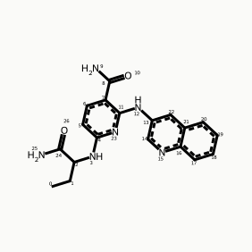 CCC(Nc1ccc(C(N)=O)c(Nc2cnc3ccccc3c2)n1)C(N)=O